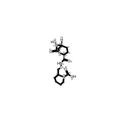 O=C(NOCC1CCCCN1C(=O)O)[C@@H]1CC[C@@H]2CN1C(=O)N2O